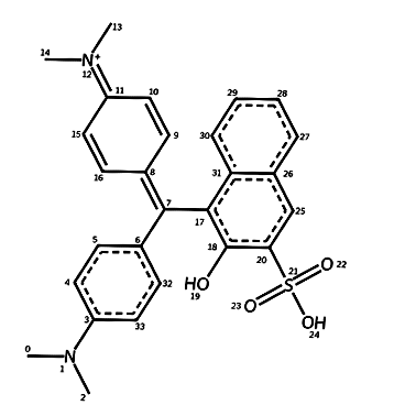 CN(C)c1ccc(C(=C2C=CC(=[N+](C)C)C=C2)c2c(O)c(S(=O)(=O)O)cc3ccccc23)cc1